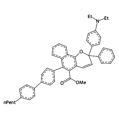 CCCCCc1ccc(-c2ccc(-c3c(C(=O)OC)c4c(c5ccccc35)OC(c3ccccc3)(c3ccc(N(CC)CC)cc3)C=C4)cc2)cc1